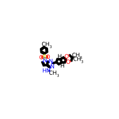 CNc1nc(C2C[C@@H]3CC4(C[C@@H]3C2)OCC(C)(C)CO4)nc2c1ccn2S(=O)(=O)c1ccc(C)cc1